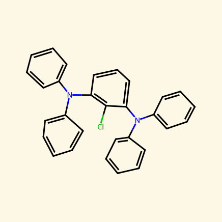 Clc1c(N(c2ccccc2)c2ccccc2)cccc1N(c1ccccc1)c1ccccc1